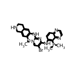 COc1cc2c(cc1Nc1ncc(Br)c(Nc3ccc4nccnc4c3P(C)C)n1)CCNC2